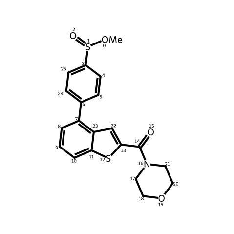 COS(=O)c1ccc(-c2cccc3sc(C(=O)N4CCOCC4)cc23)cc1